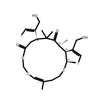 C/C1=C/CCOC(=O)C[C@H](/C(=C\I)CO)C(C)(C)C(=O)[C@H](C)[C@@H](/C(=C\I)CO)[C@@H](C)CCC1